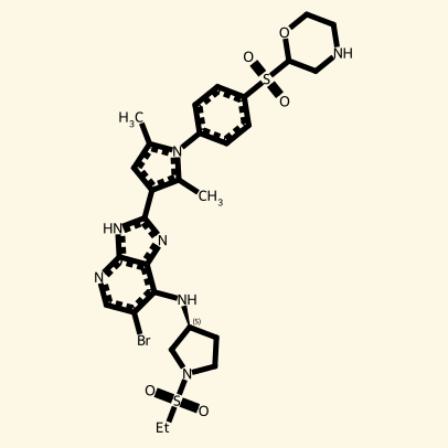 CCS(=O)(=O)N1CC[C@H](Nc2c(Br)cnc3[nH]c(-c4cc(C)n(-c5ccc(S(=O)(=O)C6CNCCO6)cc5)c4C)nc23)C1